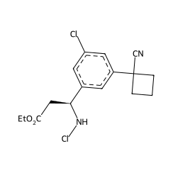 CCOC(=O)C[C@H](NCl)c1cc(Cl)cc(C2(C#N)CCC2)c1